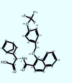 O=C(N[C@H](C(=O)O)C1CC2C=CC1C2)c1ccc2ccccc2c1OCc1ccc(OC(F)(F)F)cc1